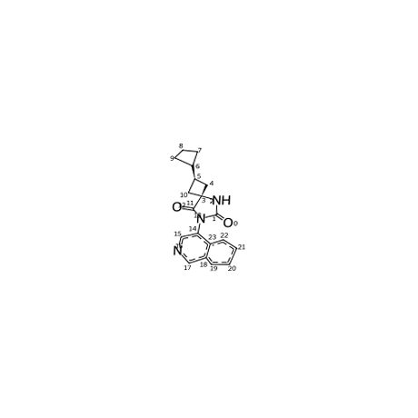 O=C1N[C@]2(C[C@H](C3CCC3)C2)C(=O)N1c1cncc2ccccc12